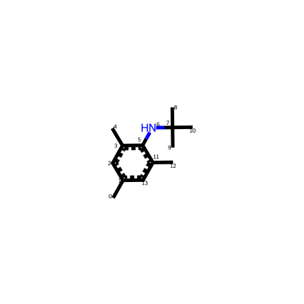 Cc1cc(C)c(NC(C)(C)C)c(C)c1